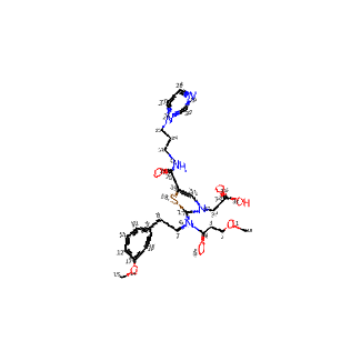 COCCC(=O)N(CCc1cccc(OC)c1)C1SC(C(=O)NCCCn2ccnc2)=CN1CC(=O)O